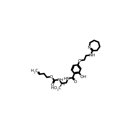 C=CCCOC(=O)N[C@@H](CNC(=O)c1ccc(OCCNC2=NCCCCC2)cc1O)C(=O)O